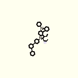 C=Cc1c(/C=C\C)n(-c2ccc(-c3cccc(-c4ccccc4)c3)cc2)c2ccc3c(c4ccccc4n3-c3ccccc3)c12